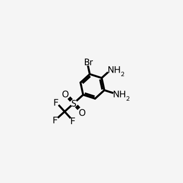 Nc1cc(S(=O)(=O)C(F)(F)F)cc(Br)c1N